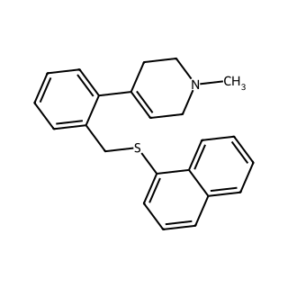 CN1CC=C(c2ccccc2CSc2cccc3ccccc23)CC1